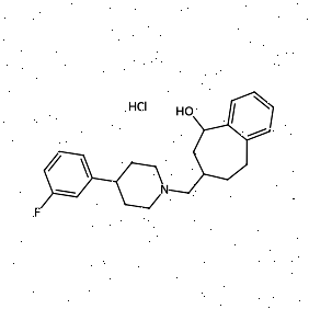 Cl.OC1CC(CN2CCC(c3cccc(F)c3)CC2)CCc2ccccc21